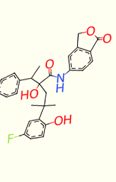 CC(c1ccccc1)C(O)(CC(C)(C)c1cc(F)ccc1O)C(=O)Nc1ccc2c(c1)COC2=O